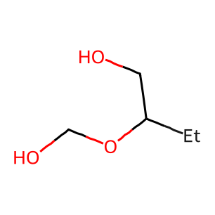 CCC(CO)OCO